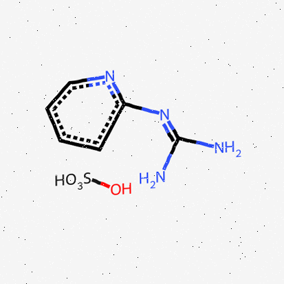 NC(N)=Nc1ccccn1.O=S(=O)(O)O